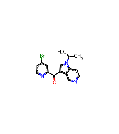 CC(C)n1cc(C(=O)c2cc(Br)ccn2)c2cnccc21